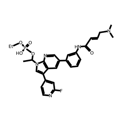 CCOP(=O)(O)OC(C)n1cc(-c2ccnc(F)c2)c2cc(-c3cccc(NC(=O)/C=C/CN(C)C)c3)cnc21